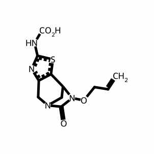 C=CCON1C(=O)N2Cc3nc(NC(=O)O)sc3C1C2